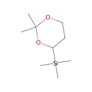 CC1(C)OCCC([Si](C)(C)C)O1